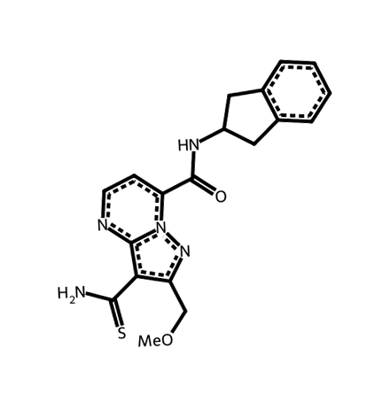 COCc1nn2c(C(=O)NC3Cc4ccccc4C3)ccnc2c1C(N)=S